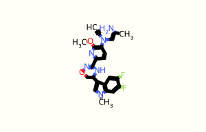 C#CN(/C=C(/C)N)c1ccc(C2=NOCC(c3cn(C)c4cc(F)c(F)cc34)N2)nc1OC